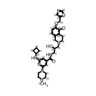 CN1CCN(c2cc(C(=O)NCC(O)CN3CCc4c(ccc(OCc5cnco5)c4Cl)C3)cc(NC3CCC3)n2)CC1